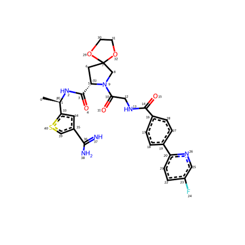 C[C@@H](NC(=O)[C@@H]1CC2(CN1C(=O)CNC(=O)c1ccc(-c3ccc(F)cn3)cc1)OCCO2)c1cc(C(=N)N)cs1